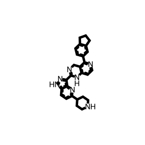 c1cc2c(c(-c3ccc4c(c3)CCC4)n1)CN=C(c1n[nH]c3ccc(C4CCNCC4)nc13)N2